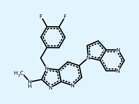 CNc1nc2ncc(-n3ccc4ncncc43)cc2n1Cc1ccc(F)c(F)c1